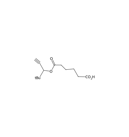 C#CC(OC(=O)CCCCC(=O)O)C(C)(C)C